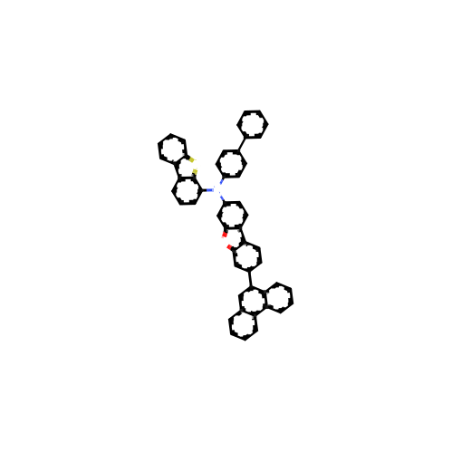 c1ccc(-c2ccc(N(c3ccc4c(c3)oc3cc(-c5cc6ccccc6c6ccccc56)ccc34)c3cccc4c3sc3ccccc34)cc2)cc1